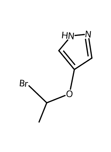 CC(Br)Oc1cn[nH]c1